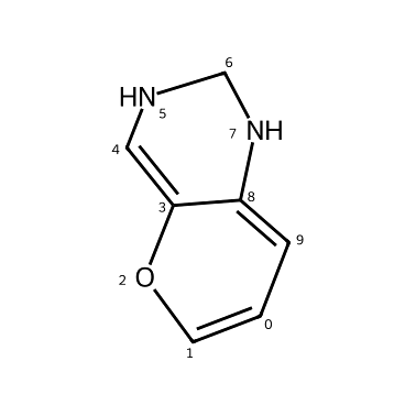 C1=COC2=CNCNC2=C1